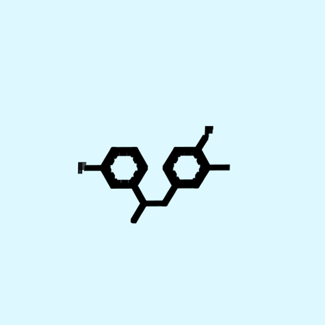 Cc1cc(CC(C)c2cccc(F)c2)ccc1F